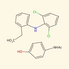 CC(=O)Nc1ccc(O)cc1.O=C(O)Cc1ccccc1Nc1c(Cl)cccc1Cl